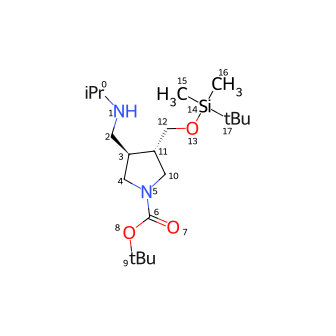 CC(C)NC[C@@H]1CN(C(=O)OC(C)(C)C)C[C@H]1CO[Si](C)(C)C(C)(C)C